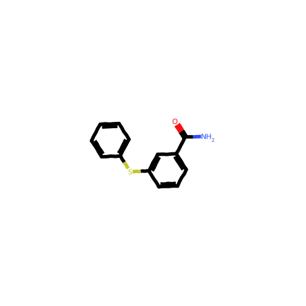 NC(=O)c1cc[c]c(Sc2ccccc2)c1